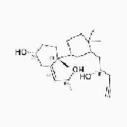 C#CC[C@H](O)CC1CC([C@@]2(C)CC[C@@H](O)C/C2=C/[C@@H](C)O)CCC1(C)C